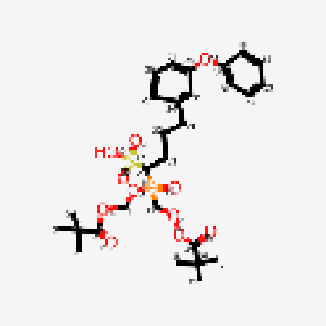 CC(C)(C)C(=O)OCOP(=O)(COOC(=O)C(C)(C)C)C(CCCc1cccc(Oc2ccccc2)c1)S(=O)(=O)O